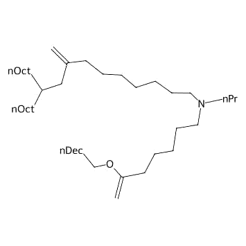 C=C(CCCCCCCN(CCC)CCCCCC(=C)OCCCCCCCCCCC)CC(CCCCCCCC)CCCCCCCC